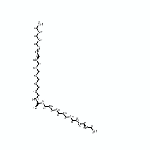 O=C(NCSCSCSCSC/N=C/OOCSCSCO)OCSCSCSCSCOO/C=N/CS